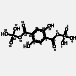 O=C(OP(=O)(O)O)c1cc(O)c(C(=O)OP(=O)(O)O)cc1O